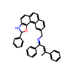 C/C(=C\C(=N/Cc1ccc2ccc3ccc4c(c3c2c1)OC(c1ccccc1)N4)c1ccccc1)c1ccccc1